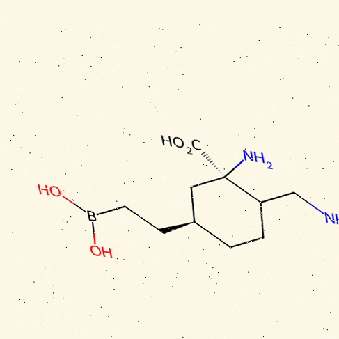 NCC1CC[C@@H](CCB(O)O)C[C@]1(N)C(=O)O